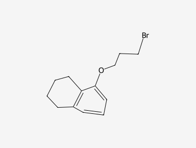 BrCCCOc1cccc2c1CCCC2